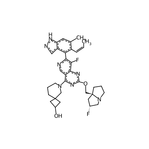 C/C=C\c1c(C)cc2[nH]ncc2c1-c1ncc2c(N3CCCC4(CC(O)C4)C3)nc(OC[C@@]34CCCN3C[C@H](F)C4)nc2c1F